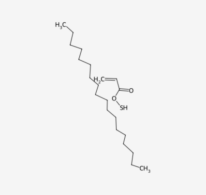 C=CC(=O)OS.CCCCCCCCCCCCCCCCCC